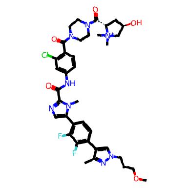 COCCCn1cc(-c2ccc(-c3cnc(C(=O)Nc4ccc(C(=O)N5CCN(C(=O)[C@@H]6C[C@@H](O)C[N+]6(C)C)CC5)c(Cl)c4)n3C)c(F)c2F)c(C)n1